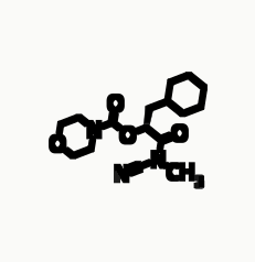 CN(C#N)C(=O)[C@H](CC1CCCCC1)OC(=O)N1CCOCC1